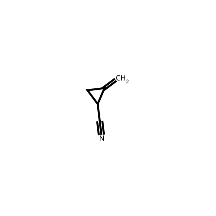 C=C1CC1C#N